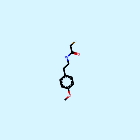 COc1ccc(CCNC(=O)C[S])cc1